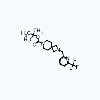 CC(C)(C)OC(=O)N1CCC2(CC1)CN(Cc1cccc(C(F)(F)F)n1)C2